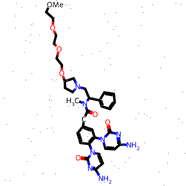 COCCOCCOCCOC1CCN(CC(c2ccccc2)N(C)C(=O)Cc2ccc(-n3ccc(N)nc3=O)c(-n3ccc(N)nc3=O)c2)C1